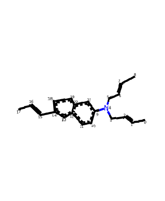 CC=CCN(CC=CC)c1ccc2cc(C=CC)ccc2c1